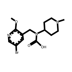 COc1ncc(Br)cc1CN(C(=O)O)C1CCN(C)CC1